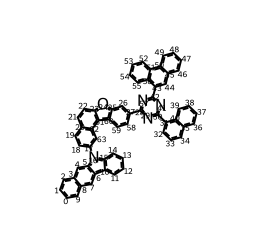 c1ccc2cc3c(cc2c1)c1ccccc1n3-c1ccc2ccc3oc4cc(-c5nc(-c6cccc7ccccc67)nc(-c6cc7ccccc7c7ccccc67)n5)ccc4c3c2c1